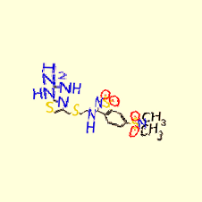 CN(C)S(=O)(=O)c1ccc2c(c1)S(=O)(=O)N=C2NCCSCc1csc(NC(=N)N)n1